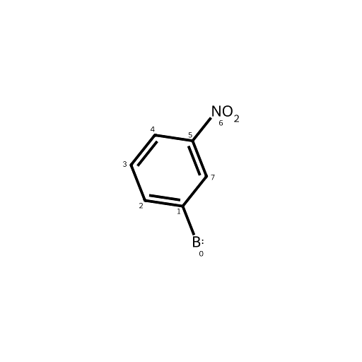 [B]c1cccc([N+](=O)[O-])c1